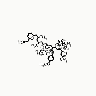 C#CCC1C=CCC(CC(C)CC(=C)CC(C=CCC(OCc2ccc(OC)cc2)C(C=CC2CC(C)=CCO2)O[Si](C)(C)C(C)(C)C)O[Si](C)(C)C(C)(C)C)O1